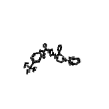 O=C(c1cc2ccc(C(F)(F)F)cc2s1)N1CC(N2CCN(c3ncccn3)CC2=O)C1